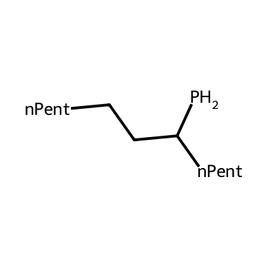 CCCCCCCC(P)CCCCC